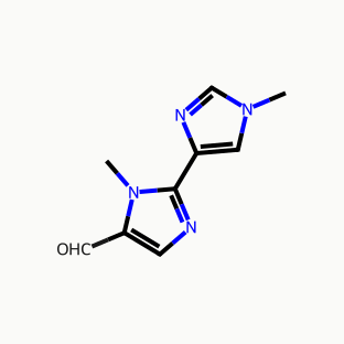 Cn1cnc(-c2ncc(C=O)n2C)c1